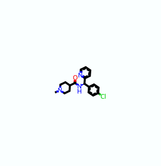 CN1CCC(C(=O)N[C@H](c2ccc(Cl)cc2)c2ccccn2)CC1